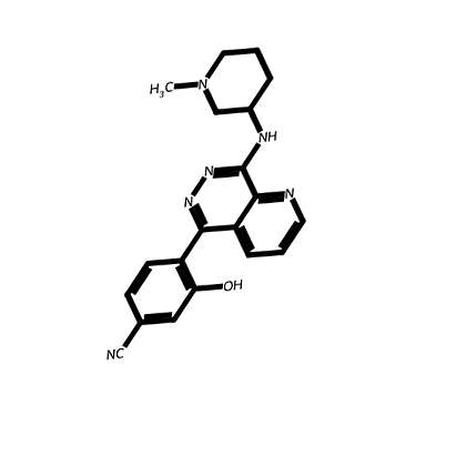 CN1CCCC(Nc2nnc(-c3ccc(C#N)cc3O)c3cccnc23)C1